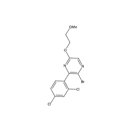 COCCOc1cnc(Br)c(-c2ccc(Cl)cc2Cl)n1